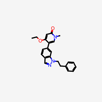 CCOc1cc(=O)n(C)cc1-c1ccc2cnn(CCc3ccccc3)c2c1